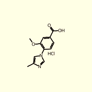 COc1cc(C(=O)O)ccc1-n1cnc(C)c1.Cl